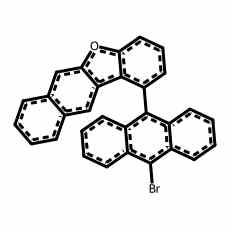 Brc1c2ccccc2c(-c2cccc3oc4cc5ccccc5cc4c23)c2ccccc12